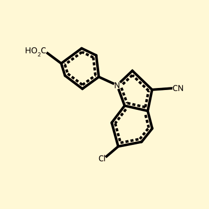 N#Cc1cn(-c2ccc(C(=O)O)cc2)c2cc(Cl)ccc12